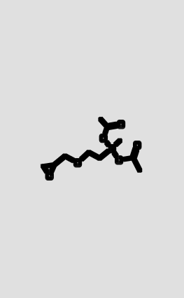 CC(=O)O[Si](C)(CCOCC1CO1)OC(C)=O